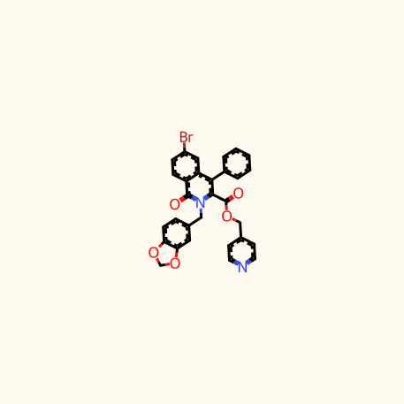 O=C(OCc1ccncc1)c1c(-c2ccccc2)c2cc(Br)ccc2c(=O)n1Cc1ccc2c(c1)OCO2